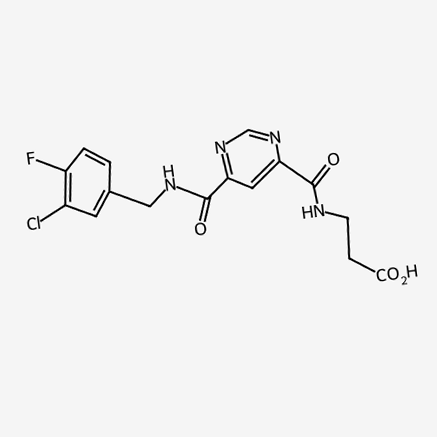 O=C(O)CCNC(=O)c1cc(C(=O)NCc2ccc(F)c(Cl)c2)ncn1